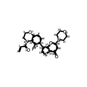 C=CC(=O)N1CCOc2ccc(-c3csc4c(=O)cc(N5CCOCC5)oc34)c(F)c21